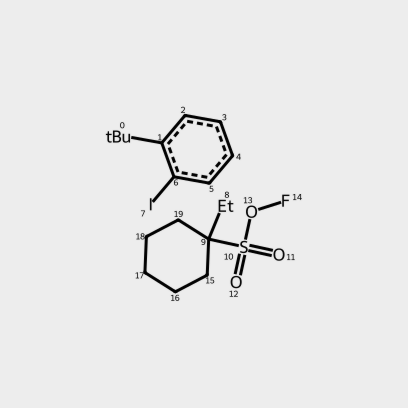 CC(C)(C)c1ccccc1I.CCC1(S(=O)(=O)OF)CCCCC1